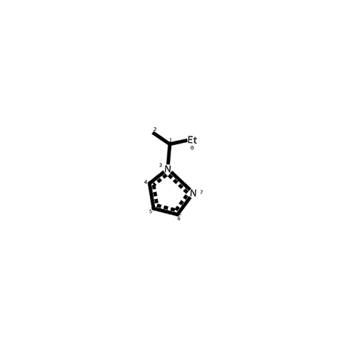 CCC(C)n1cc[c]n1